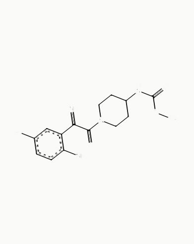 CC(C)(C)OC(=O)NC1CCN(C(=O)C(=N)c2cc(Br)ccc2N)CC1